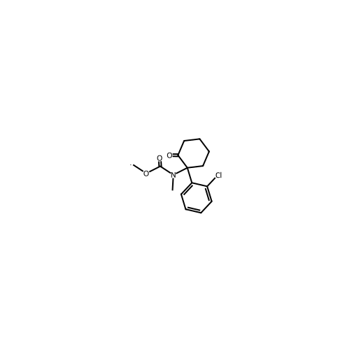 [CH2]OC(=O)N(C)C1(c2ccccc2Cl)CCCCC1=O